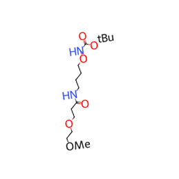 COCCOCCC(=O)NCCCCONC(=O)OC(C)(C)C